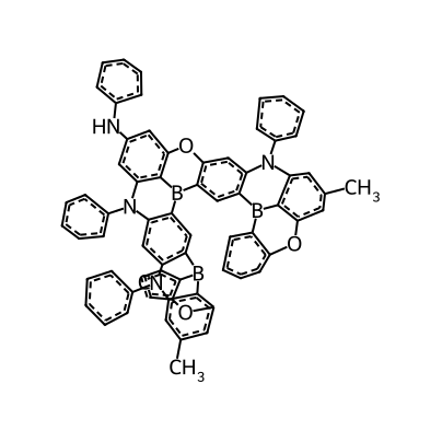 Cc1cc2c3c(c1)N(c1ccccc1)c1cc4c(cc1B3c1ccccc1O2)B1c2cc3c(cc2N(c2ccccc2)c2cc(Nc5ccccc5)cc(c21)O4)N(c1ccccc1)c1cc(C)cc2c1B3c1ccccc1O2